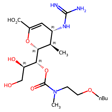 CCCCOCCN(C)C(=O)O[C@@H]([C@@H]1OC(C(=O)O)=C[C@H](NC(=N)N)[C@H]1C)[C@H](O)CO